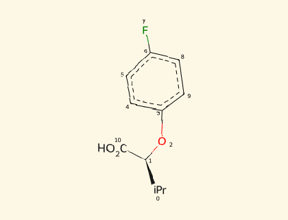 CC(C)[C@H](Oc1ccc(F)cc1)C(=O)O